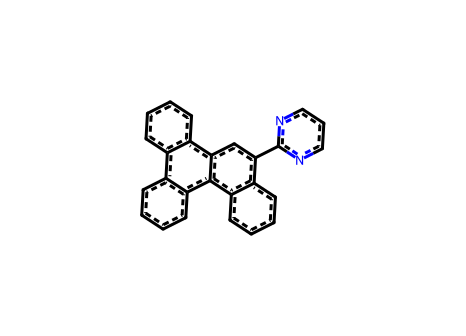 c1cnc(-c2cc3c4ccccc4c4ccccc4c3c3ccccc23)nc1